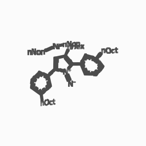 CCCCCCCC[CH2][Ni][CH2]CCCCCCCC.CCCCCCCCc1cccc(C2=CC(CCCCCC)=C(c3cccc(CCCCCCCC)c3)[N+]2=[N-])c1